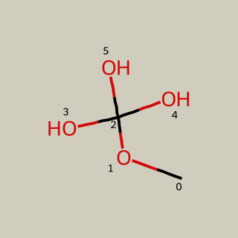 COC(O)(O)O